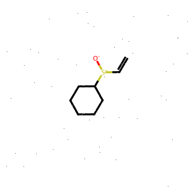 C=C[S+]([O-])C1CCCCC1